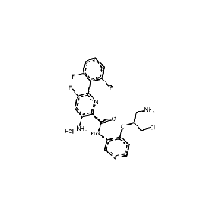 Cl.NCC(CCl)Oc1ccncc1NC(=O)c1nc(-c2c(F)cccc2F)c(F)cc1N